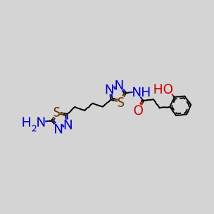 Nc1nnc(CCCCc2nnc(NC(=O)CCc3ccccc3O)s2)s1